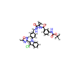 Cc1nc(-c2c(Cl)c3ccccc3n2-c2ccc(CNC(=O)C3(NC(=O)c4cccc(NC(=O)OC(C)(C)C)c4)CC3)cc2)no1